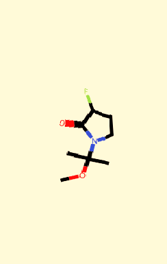 COC(C)(C)N1CCC(F)C1=O